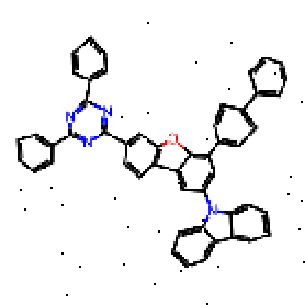 c1ccc(-c2ccc(-c3cc(-n4c5ccccc5c5ccccc54)cc4c3oc3cc(-c5nc(-c6ccccc6)nc(-c6ccccc6)n5)ccc34)cc2)cc1